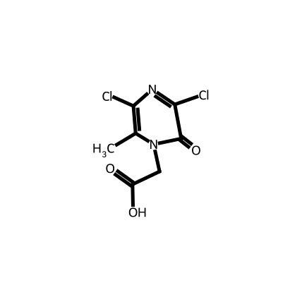 Cc1c(Cl)nc(Cl)c(=O)n1CC(=O)O